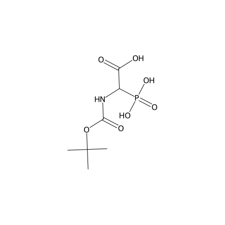 CC(C)(C)OC(=O)NC(C(=O)O)P(=O)(O)O